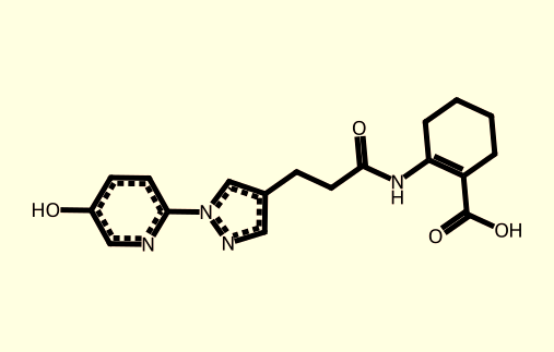 O=C(CCc1cnn(-c2ccc(O)cn2)c1)NC1=C(C(=O)O)CCCC1